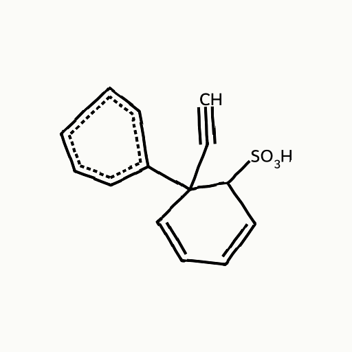 C#CC1(c2ccccc2)C=CC=CC1S(=O)(=O)O